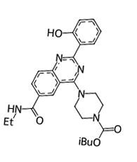 CCNC(=O)c1ccc2nc(-c3ccccc3O)nc(N3CCN(C(=O)OCC(C)C)CC3)c2c1